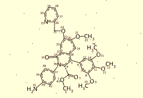 COC(=O)c1c(-c2cc(OC)c(OC)c(OC)c2)c2cc(OC)c(OCc3ccccn3)cc2c(=O)n1-c1ccc(N)cc1